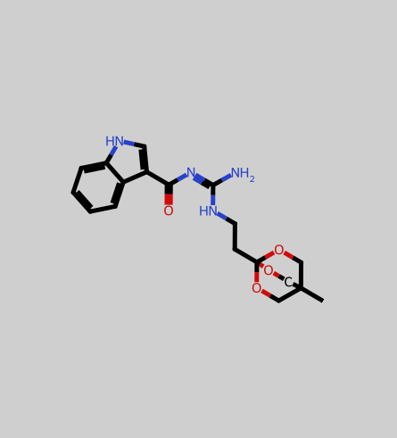 CC12COC(CCNC(N)=NC(=O)c3c[nH]c4ccccc34)(OC1)OC2